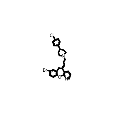 Clc1ccc(C2CCN(CCC=C3Cc4cc(Br)ccc4Oc4ncccc43)CC2)cc1